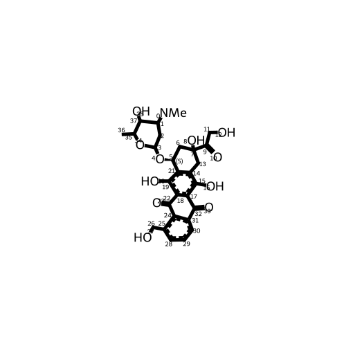 CNC1CC(O[C@H]2CC(O)(C(=O)CO)Cc3c(O)c4c(c(O)c32)C(=O)c2c(CO)cccc2C4=O)OC(C)C1O